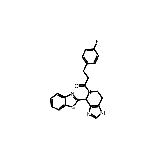 O=C(CCc1ccc(F)cc1)N1CCc2[nH]cnc2[C@H]1c1nc2ccccc2s1